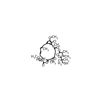 COc1cc2cc(c1Cl)N(C)C(=O)C[C@H](OC(=O)[C@H](C)N(C)C(=O)C(C)(C)CS)C1O[C@H]1[C@H](C)[C@@H]1C[C@@](O)(NC(=O)O1)[C@H](OC)/C=C/C=C(\C)C2